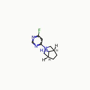 NC1[C@@H]2CC[C@H]1CN(c1cc(F)ncn1)C2